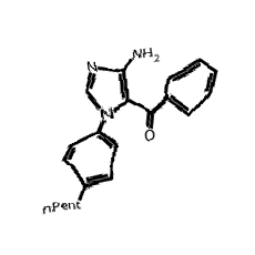 CCCCCc1ccc(-n2cnc(N)c2C(=O)c2ccccc2)cc1